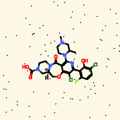 CC1CN(C)CCN1c1nc(-c2c(F)ccc(Cl)c2O)c(Cl)c2c1C(=O)N1CCN(C(=O)O)C[C@@H]1CO2